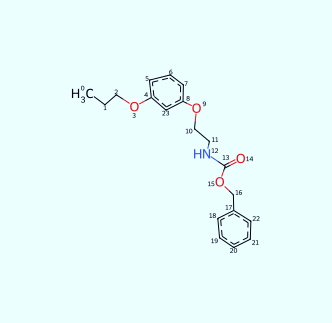 CCCOc1cccc(OCCNC(=O)OCc2ccccc2)c1